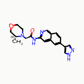 C[C@@H]1COCCN1CC(=O)Nc1cc2cc(-c3cn[nH]c3)ccc2cn1